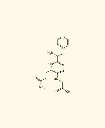 NC(=O)CCC(NC(=O)C(N)Cc1ccccc1)C(=O)NCC(=O)O